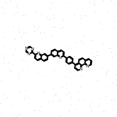 c1cnc2c(c1)ccc1c(-c3ccc(-c4ccc5ccc(-c6ccc7ccc(-c8ncncn8)nc7c6)cc5n4)cc3)ccnc12